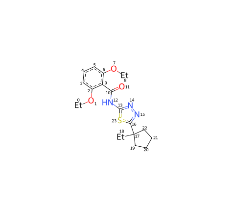 CCOc1cccc(OCC)c1C(=O)Nc1nnc(C2(CC)CCCC2)s1